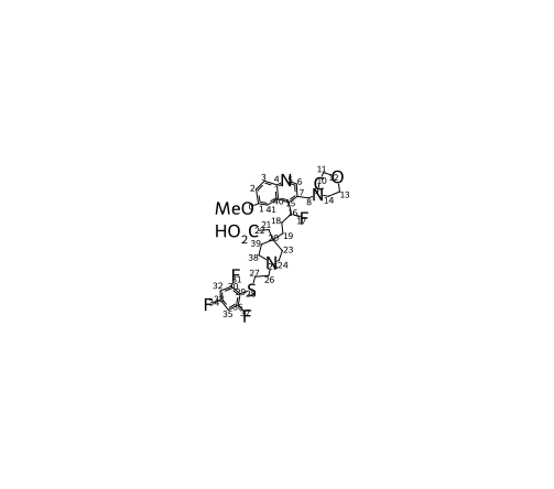 COc1ccc2ncc(CN3CCOCC3)c([C@@H](F)CCC3(CC(=O)O)CCN(CCSc4c(F)cc(F)cc4F)CC3)c2c1